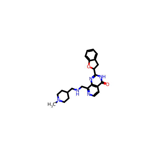 CN1CCC(CNCc2nccc3c(=O)[nH]c(C4Cc5ccccc5O4)nc23)CC1